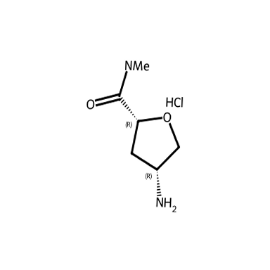 CNC(=O)[C@H]1C[C@@H](N)CO1.Cl